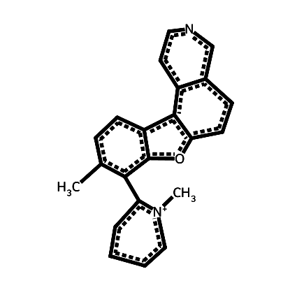 Cc1ccc2c(oc3ccc4cnccc4c32)c1-c1cccc[n+]1C